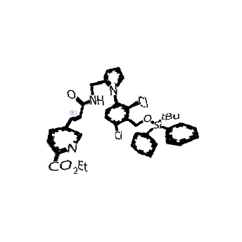 CCOC(=O)c1ccc(/C=C/C(=O)NCc2cccn2-c2ccc(Cl)c(CO[Si](c3ccccc3)(c3ccccc3)C(C)(C)C)c2Cl)cn1